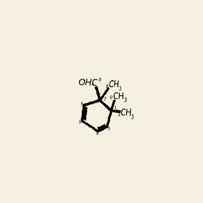 CC1(C)C=CC=CC1(C)C=O